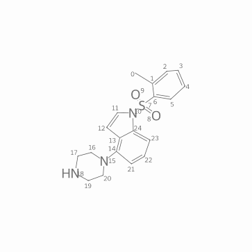 Cc1ccccc1S(=O)(=O)n1ccc2c(N3CCNCC3)cccc21